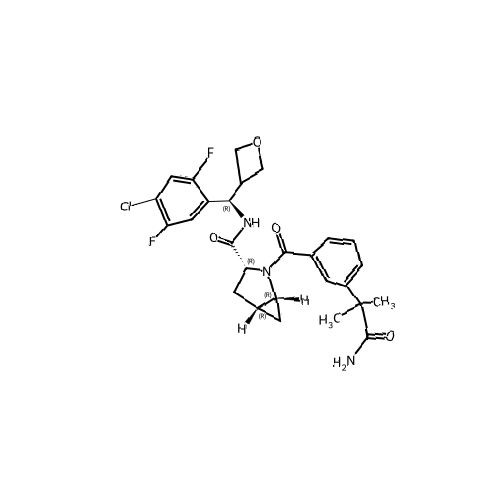 CC(C)(C(N)=O)c1cccc(C(=O)N2[C@@H](C(=O)N[C@@H](c3cc(F)c(Cl)cc3F)C3COC3)C[C@H]3C[C@H]32)c1